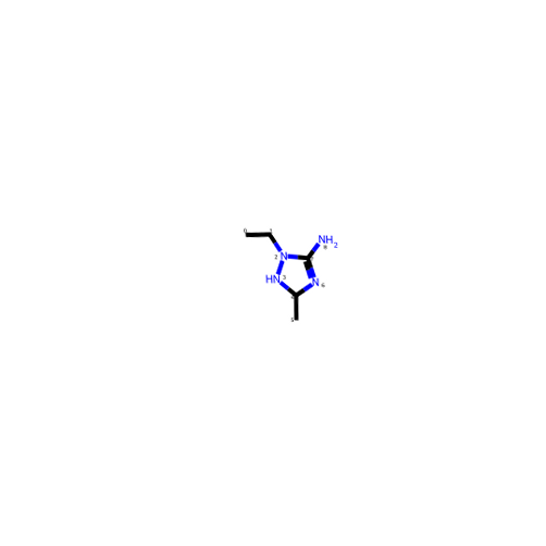 CCN1NC(C)N=C1N